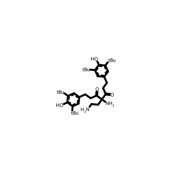 CC(C)(C)c1cc(CCC(=O)C(N)(CCN)C(=O)CCc2cc(C(C)(C)C)c(O)c(C(C)(C)C)c2)cc(C(C)(C)C)c1O